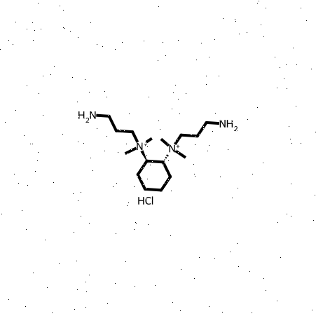 C[N+](C)(CCCN)[C@@H]1CCCC[C@H]1[N+](C)(C)CCCN.Cl